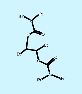 CCC(OC(=O)N(C(C)C)C(C)C)C(CC)OC(=O)N(C(C)C)C(C)C